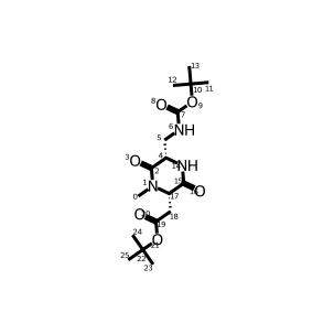 CN1C(=O)[C@H](CNC(=O)OC(C)(C)C)NC(=O)[C@@H]1CC(=O)OC(C)(C)C